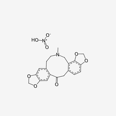 CN1CCc2cc3c(cc2C(=O)Cc2ccc4c(c2C1)OCO4)OCO3.O=[N+]([O-])O